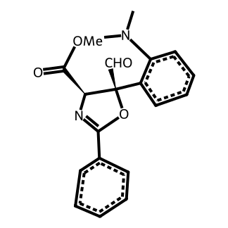 COC(=O)[C@@H]1N=C(c2ccccc2)O[C@@]1(C=O)c1ccccc1N(C)C